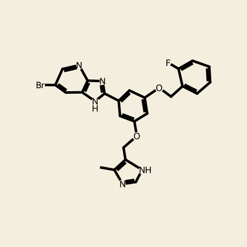 Cc1nc[nH]c1COc1cc(OCc2ccccc2F)cc(-c2nc3ncc(Br)cc3[nH]2)c1